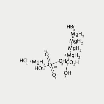 Br.Cl.O=C(O)O.[MgH2].[MgH2].[MgH2].[MgH2].[MgH2].[O]=[Cr](=[O])([OH])[OH]